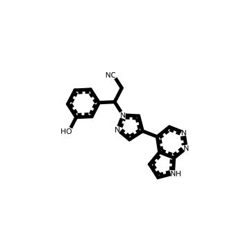 N#CCC(c1cccc(O)c1)n1cc(-c2cnnc3[nH]ccc23)cn1